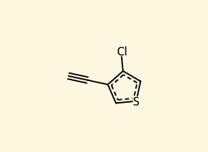 C#Cc1cscc1Cl